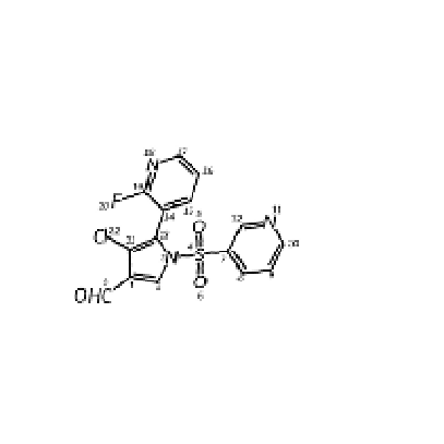 O=Cc1cn(S(=O)(=O)c2cccnc2)c(-c2cccnc2F)c1Cl